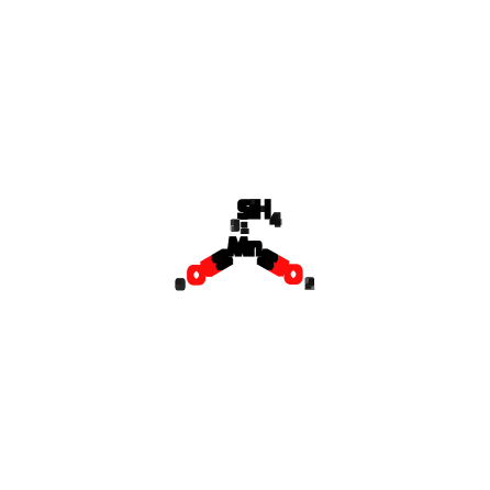 [O]=[Mn]=[O].[SiH4]